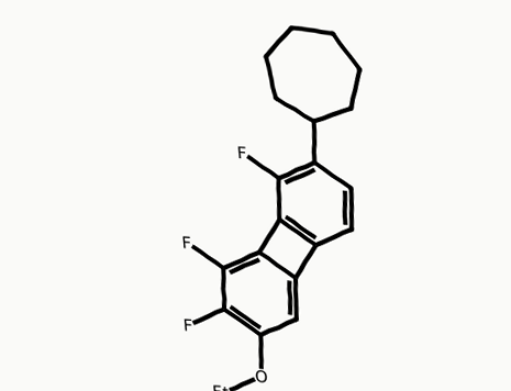 CCOc1cc2c(c(F)c1F)-c1c-2ccc(C2CCCCCC2)c1F